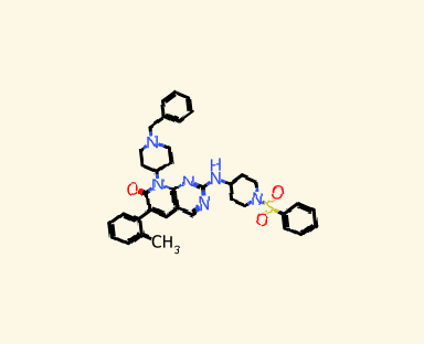 Cc1ccccc1-c1cc2cnc(NC3CCN(S(=O)(=O)c4ccccc4)CC3)nc2n(C2CCN(Cc3ccccc3)CC2)c1=O